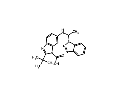 CC(Nc1ccc2nc(C(C)(C)C)n(C(=O)O)c2c1)n1nnc2ccccc21